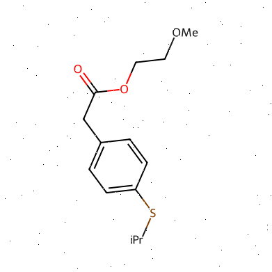 COCCOC(=O)Cc1ccc(SC(C)C)cc1